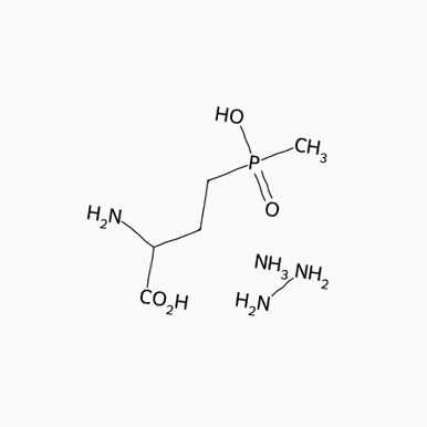 CP(=O)(O)CCC(N)C(=O)O.N.NN